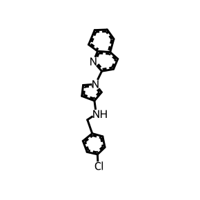 Clc1ccc(CNc2ccn(-c3ccc4ccccc4n3)c2)cc1